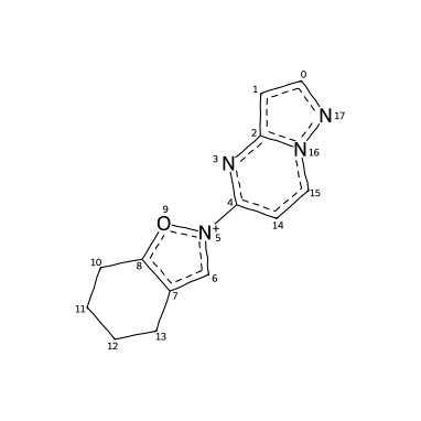 c1cc2nc(-[n+]3cc4c(o3)CCCC4)ccn2n1